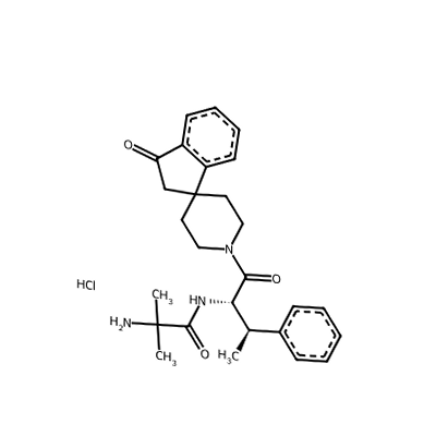 C[C@H](c1ccccc1)[C@H](NC(=O)C(C)(C)N)C(=O)N1CCC2(CC1)CC(=O)c1ccccc12.Cl